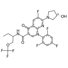 CCC(COC(F)(F)F)NC(=O)c1cn(-c2c(F)cc(F)cc2F)c2nc(N3CC[C@H](O)C3)c(F)cc2c1=O